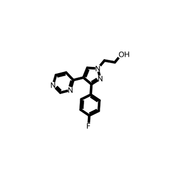 OCCn1cc(-c2ccncn2)c(-c2ccc(F)cc2)n1